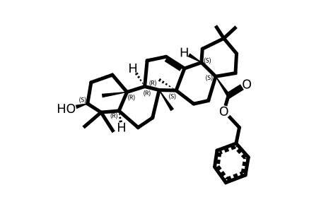 CC1(C)CC[C@]2(C(=O)OCc3ccccc3)CC[C@]3(C)C(=CC[C@@H]4[C@@]5(C)CC[C@H](O)C(C)(C)[C@@H]5CC[C@]43C)[C@@H]2C1